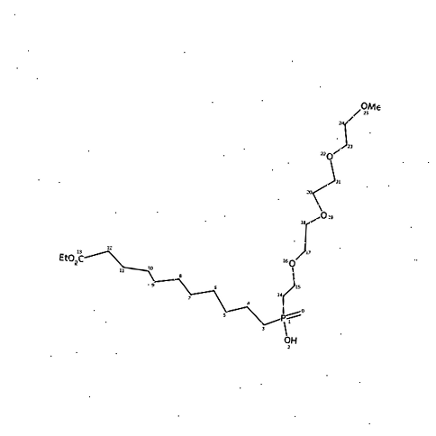 C=P(O)(CCCCCCCCCCC(=O)OCC)CCOCCOCCOCCOC